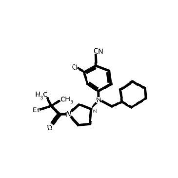 CCC(C)(C)C(=O)N1CC[C@H](N(CC2CCCCC2)c2ccc(C#N)c(Cl)c2)C1